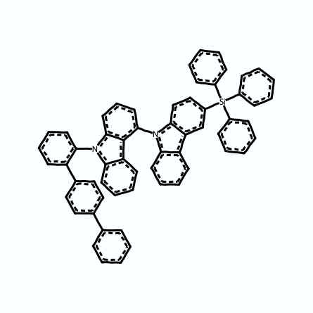 c1ccc(-c2ccc(-c3ccccc3-n3c4ccccc4c4c(-n5c6ccccc6c6cc([Si](c7ccccc7)(c7ccccc7)c7ccccc7)ccc65)cccc43)cc2)cc1